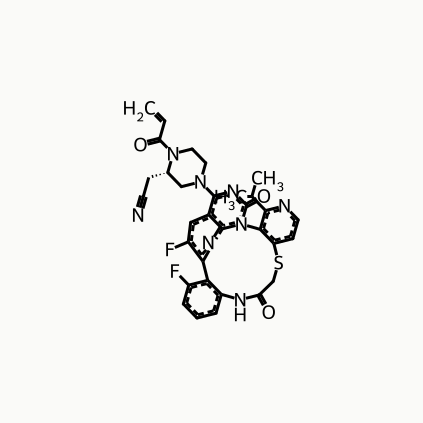 C=CC(=O)N1CCN(c2nc(=O)n3c4nc(c(F)cc24)-c2c(F)cccc2NC(=O)CSc2ccnc(C(C)C)c2-3)C[C@@H]1CC#N